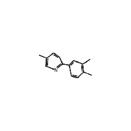 Cc1ccc(-c2ccc(C)c(C)c2)nc1